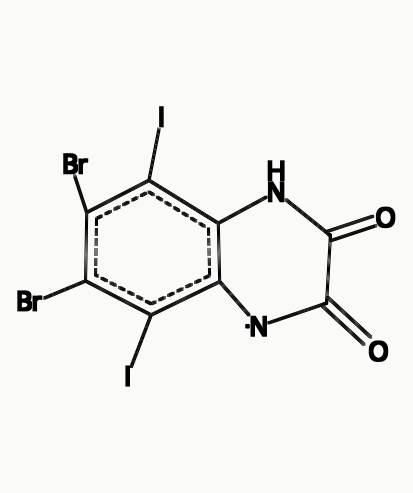 O=C1[N]c2c(I)c(Br)c(Br)c(I)c2NC1=O